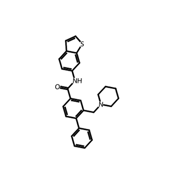 O=C(Nc1ccc2ccsc2c1)c1ccc(-c2ccccc2)c(CN2CCCCC2)c1